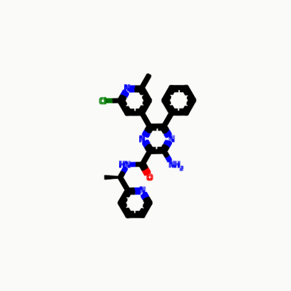 Cc1cc(-c2nc(C(=O)N[C@H](C)c3ccccn3)c(N)nc2-c2ccccc2)cc(Cl)n1